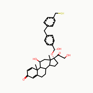 CC12C=CC(=O)C=C1CCC1C2C(O)CC2(C)C1CC[C@]2(O[C@@H](O)c1ccc(Cc2ccc(CS)cc2)cc1)C(=O)CO